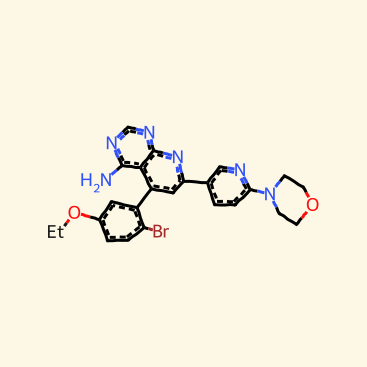 CCOc1ccc(Br)c(-c2cc(-c3ccc(N4CCOCC4)nc3)nc3ncnc(N)c23)c1